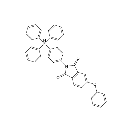 O=C1c2ccc(Oc3ccccc3)cc2C(=O)N1c1ccc([PH](c2ccccc2)(c2ccccc2)c2ccccc2)cc1